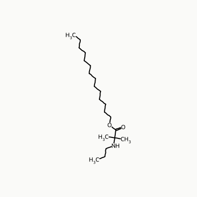 CCCCCCCCCCCCCCOC(=O)C(C)(C)NCCC